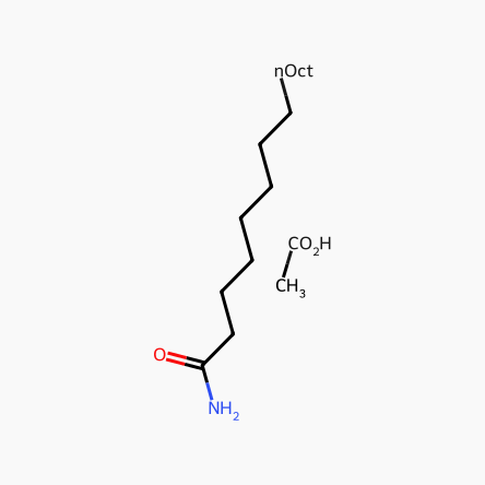 CC(=O)O.CCCCCCCCCCCCCCCC(N)=O